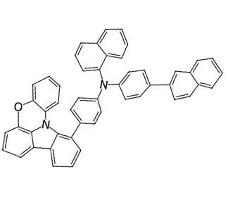 c1ccc2c(c1)Oc1cccc3c4cccc(-c5ccc(N(c6ccc(-c7ccc8ccccc8c7)cc6)c6cccc7ccccc67)cc5)c4n-2c13